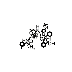 CCCC(NC(=O)[C@@H]1C[C@@H](OC(C)(C)C)CN1C(=O)[C@@H](NC(=O)c1ccccc1C(=O)O)C1CCCCC1)C(=O)C(=O)NCC(=O)NC(C(N)=O)c1cccc(C)c1